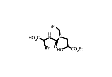 CCOC(=O)C(O)CN(CC(C)C)C(=O)NC(C(=O)O)C(C)C